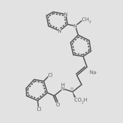 CN(c1ccc(C=CC[C@H](NC(=O)c2c(Cl)cccc2Cl)C(=O)O)cc1)c1ncccn1.[Na]